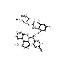 Cc1cc(C)c(NC(=O)CN(CC(=O)O)CC(=O)O)c(C)c1.O=C(OCc1ccccc1-c1ccccc1C(=O)O)c1ccc(=O)oc1